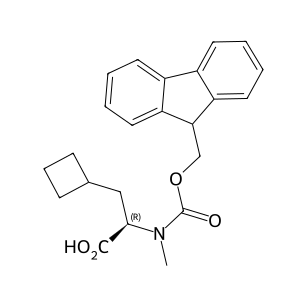 CN(C(=O)OCC1c2ccccc2-c2ccccc21)[C@H](CC1CCC1)C(=O)O